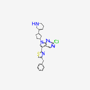 Clc1ncc2c(-c3nc(Cc4ccccc4)cs3)cn(C3CCC(C4=CCCNC4)C3)c2n1